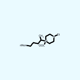 CCCCCCCCCCCCC(C)[N+]1(C(=O)[O-])CCN(CC)CC1